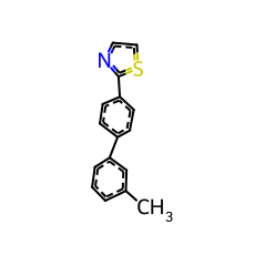 Cc1cccc(-c2ccc(-c3nccs3)cc2)c1